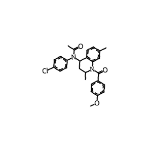 COc1ccc(C(=O)N2c3cc(C)ccc3C(N(C(C)=O)c3ccc(Cl)cc3)CC2C)cc1